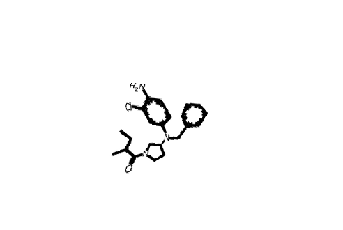 CCC(C)C(=O)N1CC[C@H](N(Cc2ccccc2)c2ccc(N)c(Cl)c2)C1